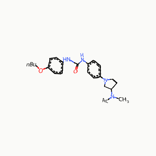 CCCCOc1ccc(NC(=O)Nc2ccc(N3CCC(N(C)C(C)=O)C3)cc2)cc1